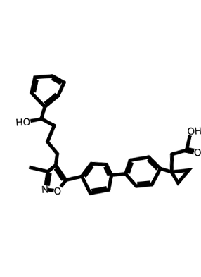 Cc1noc(-c2ccc(-c3ccc(C4(CC(=O)O)CC4)cc3)cc2)c1CCCC(O)c1ccccc1